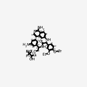 CCOc1cc([C@@H](Nc2ccc3c(N)nccc3c2)C(=O)NC(CC(=O)O)c2cccc(N)c2)ccc1OC(C)C.O=C(O)C(F)(F)F